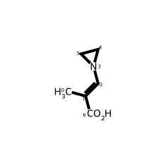 CC(=CN1CC1)C(=O)O